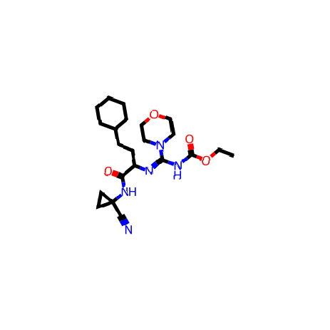 CCOC(=O)N/C(=N/C(CCC1CCCCC1)C(=O)NC1(C#N)CC1)N1CCOCC1